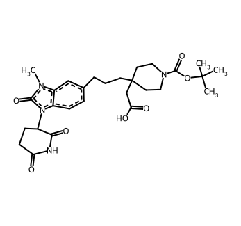 Cn1c(=O)n(C2CCC(=O)NC2=O)c2ccc(CCCC3(CC(=O)O)CCN(C(=O)OC(C)(C)C)CC3)cc21